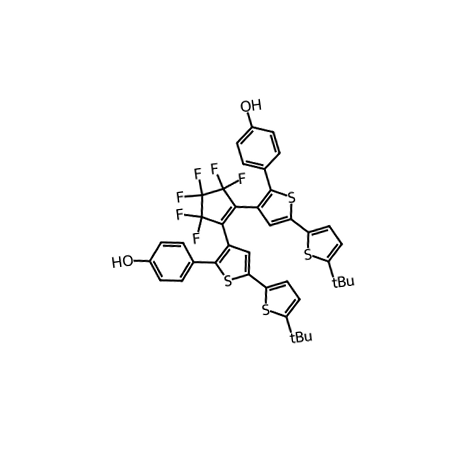 CC(C)(C)c1ccc(-c2cc(C3=C(c4cc(-c5ccc(C(C)(C)C)s5)sc4-c4ccc(O)cc4)C(F)(F)C(F)(F)C3(F)F)c(-c3ccc(O)cc3)s2)s1